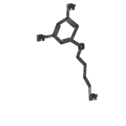 CC(C)CCCCOc1cc(C(C)C)cc(C(C)C)c1